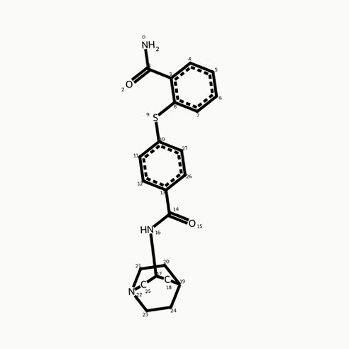 NC(=O)c1ccccc1Sc1ccc(C(=O)NC2CC3CCN(CC3)C2)cc1